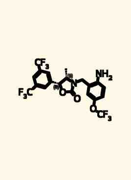 C[C@H]1[C@@H](c2cc(C(F)(F)F)cc(C(F)(F)F)c2)OC(=O)N1Cc1cc(OC(F)(F)F)ccc1N